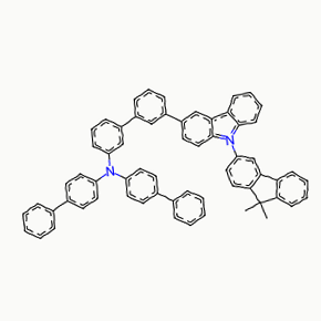 CC1(C)c2ccccc2-c2cc(-n3c4ccccc4c4cc(-c5cccc(-c6cccc(N(c7ccc(-c8ccccc8)cc7)c7ccc(-c8ccccc8)cc7)c6)c5)ccc43)ccc21